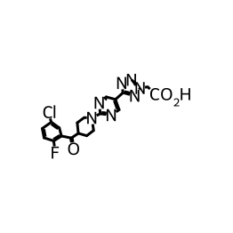 O=C(O)Cn1nnc(-c2cnc(N3CCC(C(=O)c4cc(Cl)ccc4F)CC3)nc2)n1